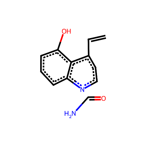 C=Cc1ccnc2cccc(O)c12.NC=O